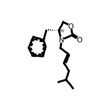 CC(C)CC=CCN1C(=O)OC[C@H]1Cc1ccccc1